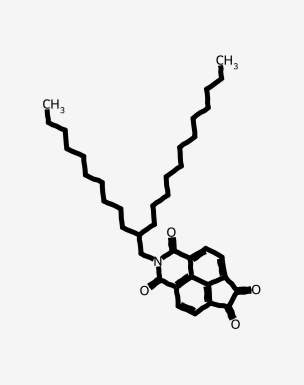 CCCCCCCCCCCCC(CCCCCCCCCC)Cn1c(=O)c2ccc3c(=O)c(=O)c4ccc(c1=O)c2c34